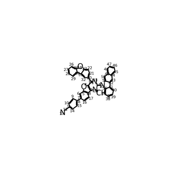 CN1c2c(oc3cc(-c4ccc(C#N)cc4)ccc23)C(c2ccc3oc4ccccc4c3c2)=NC1n1c2ccccc2c2cc3ccccc3cc21